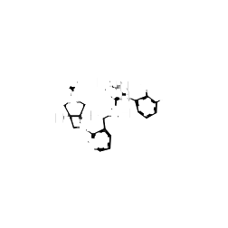 O=C(O)N1C[C@@H]2CN(c3ncccc3CNc3nnnn3-c3cccc(Cl)c3Cl)[C@@H]2C1